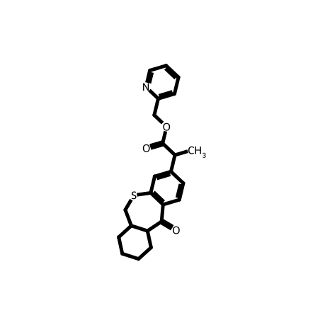 CC(C(=O)OCc1ccccn1)c1ccc2c(c1)SCC1CCCCC1C2=O